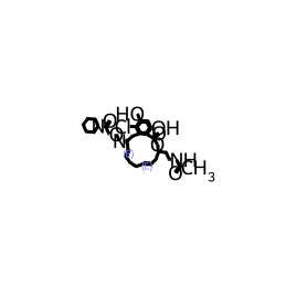 CC(=O)NCCC1C/C=C/CC/C=C/C(=NOCC(=O)N2CCCCC2)Cc2c(Cl)c(O)cc(O)c2C(=O)O1